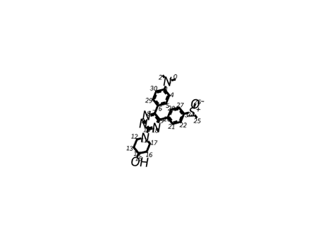 CN(C)c1ccc(-c2nnc(N3CCC(O)CC3)nc2-c2ccc([S+](C)[O-])cc2)cc1